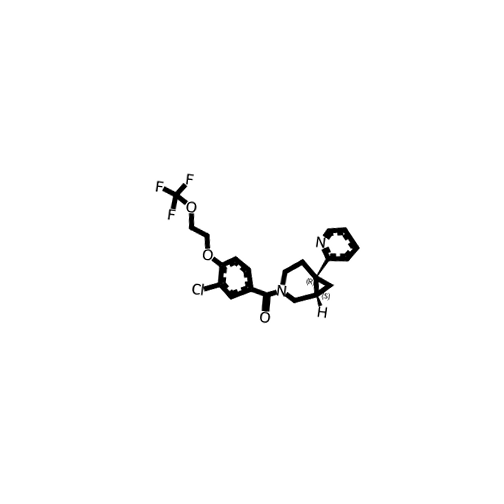 O=C(c1ccc(OCCOC(F)(F)F)c(Cl)c1)N1CC[C@]2(c3ccccn3)C[C@@H]2C1